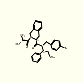 COC[C@@H](c1ccccc1)N(Cc1ccc(C(C)=O)cc1)C(=O)[C@@H]1Cc2ccccc2CN1C(=O)[C@@H](N)C(C)(C)C